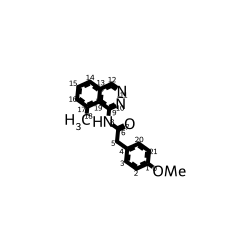 COc1ccc(CC(=O)Nc2nncc3cccc(C)c23)cc1